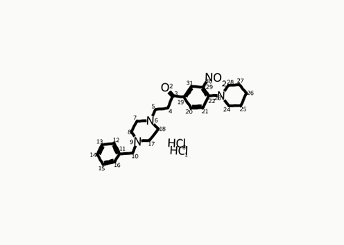 Cl.Cl.O=C(CCN1CCN(Cc2ccccc2)CC1)c1ccc(N2CCCCC2)c([N+](=O)[O-])c1